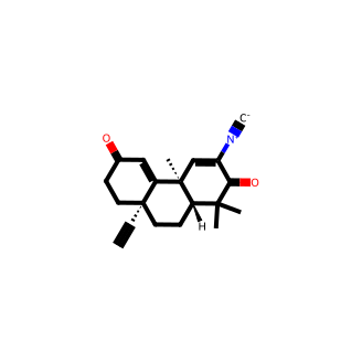 [C-]#[N+]C1=C[C@]2(C)C3=CC(=O)CC[C@]3(C#C)CC[C@H]2C(C)(C)C1=O